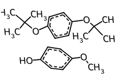 CC(C)(C)Oc1ccc(OC(C)(C)C)cc1.COc1ccc(O)cc1